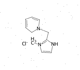 C[n+]1cc[nH]c1CN1C=CC=CC1.[Cl-]